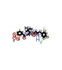 COS(=O)(=O)c1cccc(C(=O)N2C[C@@H]3CCN(C(=O)C[C@H](N)Cc4cc(F)c(F)cc4F)[C@@H]3C2)c1